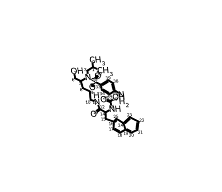 CC(C)CN(C(CO)CCCNC(=O)C(Cc1ccc2ccccc2c1)NC(=O)O)S(=O)(=O)c1ccc(N)cc1